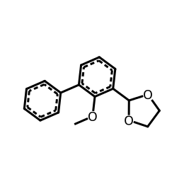 COc1c(-c2ccccc2)cccc1C1OCCO1